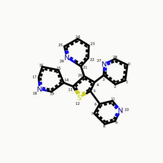 c1ccc(-c2c(-c3cccnc3)sc(-c3cccnc3)c2-c2ccccn2)nc1